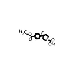 CCOC(=O)c1ccc(C2(F)CCN(C(=O)O)CC2)cc1